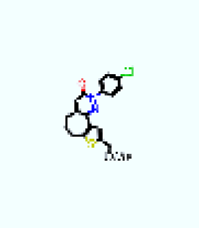 COCc1cc2c(s1)CCCc1cc(=O)n(-c3ccc(Cl)cc3)nc1-2